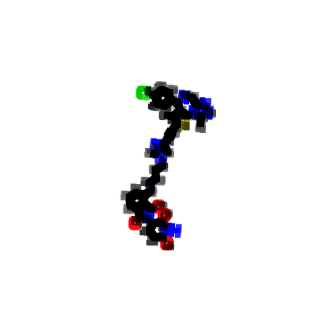 Cc1c(C#Cc2cn(CCC/C=C/c3cccc4c3C(=O)N(C3CCC(=O)NC3=O)C4=O)cn2)sc2c1C(c1ccc(Cl)cc1)=NCc1nnc(C)n1-2